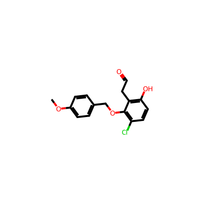 COc1ccc(COc2c(Cl)ccc(O)c2CC=O)cc1